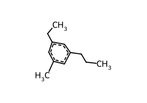 CCCc1cc(C)cc(CC)c1